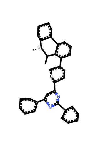 CC1c2c(-c3ccc(-c4cc(-c5ccccc5)nc(-c5ccccc5)n4)cc3)cccc2-c2ccccc2[C@H]1C